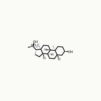 C[C@@H](O)[C@H]1CC[C@H]2[C@@H]3CC[C@H]4C[C@H](O)CC[C@]4(C)[C@H]3CC[C@]12C(=O)O